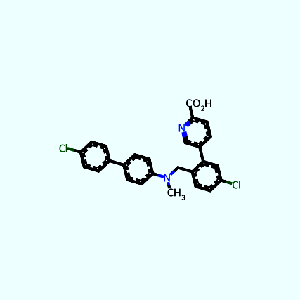 CN(Cc1ccc(Cl)cc1-c1ccc(C(=O)O)nc1)c1ccc(-c2ccc(Cl)cc2)cc1